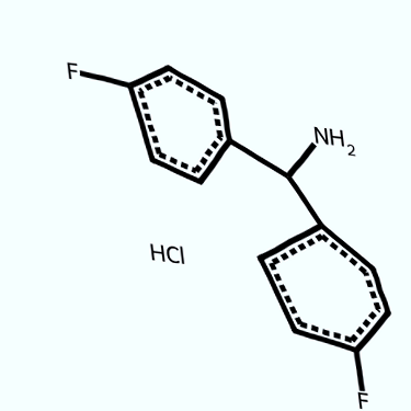 Cl.NC(c1ccc(F)cc1)c1ccc(F)cc1